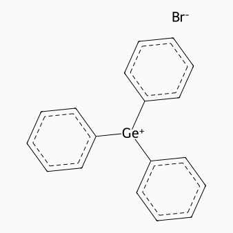 [Br-].c1cc[c]([Ge+]([c]2ccccc2)[c]2ccccc2)cc1